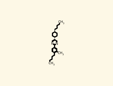 CCCCCc1ccc(-c2ncc([C@H]3CC[C@H](CCCCC)CC3)cn2)cc1C